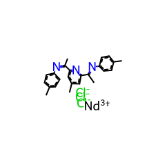 CC(=Nc1ccc(C)cc1)c1cc(C)cc(C(C)=Nc2ccc(C)cc2)n1.[Cl-].[Cl-].[Cl-].[Nd+3]